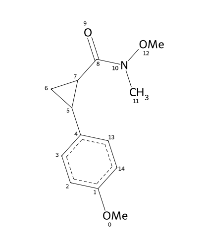 COc1ccc(C2CC2C(=O)N(C)OC)cc1